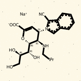 CC(C)CN[C@H]1[C@H]([C@H](O)[C@H](O)CO)OC(C(=O)[O-])=C[C@@H]1n1cc2ccccc2c1C#N.[Na+]